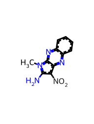 Cn1c(N)c([N+](=O)[O-])c2nc3ccccc3nc21